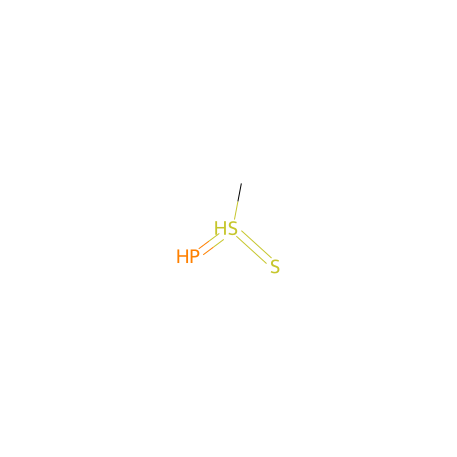 C[SH](=P)=S